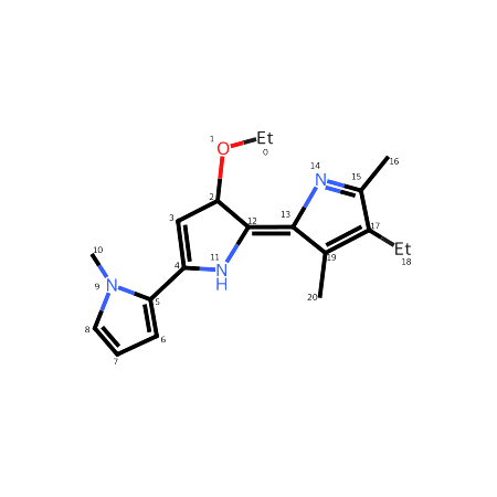 CCOC1C=C(c2cccn2C)NC1=C1N=C(C)C(CC)=C1C